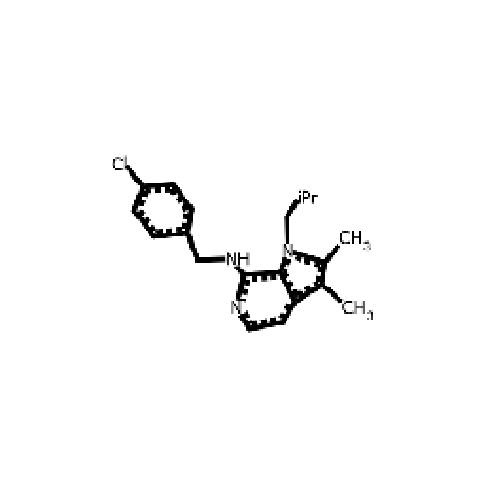 Cc1c(C)n(CC(C)C)c2c(NCc3ccc(Cl)cc3)nccc12